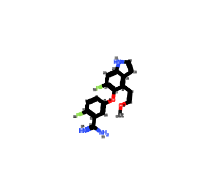 CCO/C=C\c1c(Oc2ccc(F)c(C(=N)N)c2)c(F)cc2[nH]ccc12